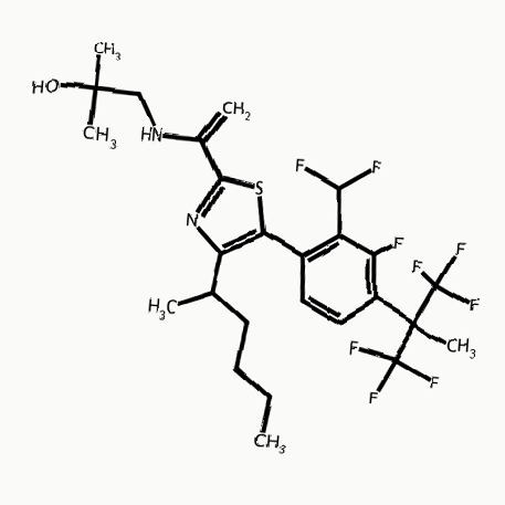 C=C(NCC(C)(C)O)c1nc(C(C)CCCC)c(-c2ccc(C(C)(C(F)(F)F)C(F)(F)F)c(F)c2C(F)F)s1